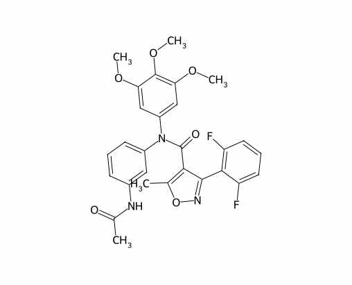 COc1cc(N(C(=O)c2c(-c3c(F)cccc3F)noc2C)c2cccc(NC(C)=O)c2)cc(OC)c1OC